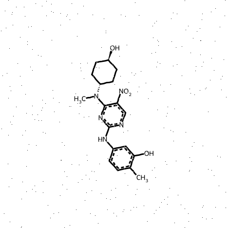 Cc1ccc(Nc2ncc([N+](=O)[O-])c(N(C)[C@H]3CC[C@H](O)CC3)n2)cc1O